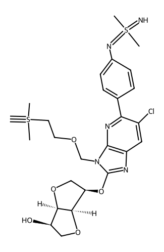 C#S(C)(C)CCOCn1c(O[C@@H]2CO[C@H]3[C@@H]2OC[C@H]3O)nc2cc(Cl)c(-c3ccc(N=S(C)(C)=N)cc3)nc21